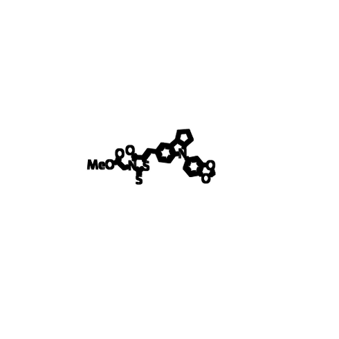 COC(=O)CN1C(=O)/C(=C/c2ccc3c(c2)C2CCCC2N3c2ccc3c(c2)OCO3)SC1=S